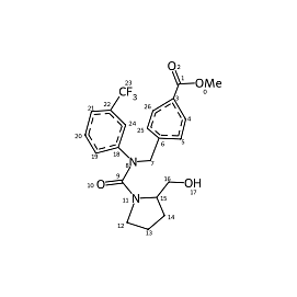 COC(=O)c1ccc(CN(C(=O)N2CCCC2CO)c2cccc(C(F)(F)F)c2)cc1